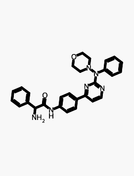 NC(C(=O)Nc1ccc(-c2ccnc(N(c3ccccc3)N3CCOCC3)n2)cc1)c1ccccc1